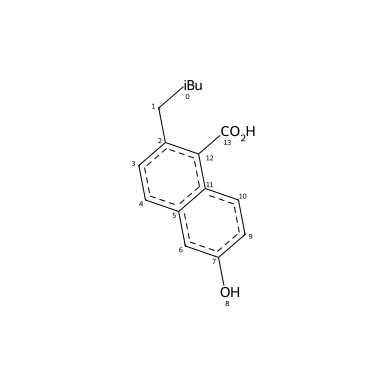 CCC(C)Cc1ccc2cc(O)ccc2c1C(=O)O